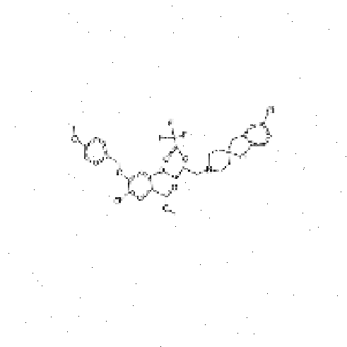 COC(=O)c1cc(Cl)c(OCc2ccc(OC)cc2)cc1OC[C@H](CN1CCC2(CC1)Cc1cc(Cl)ccc1O2)OC(=O)C(F)(F)F